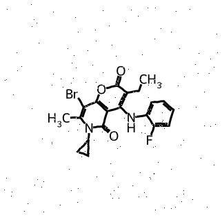 CCc1c(Nc2ccccc2F)c2c(=O)n(C3CC3)c(C)c(Br)c2oc1=O